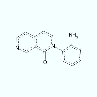 Nc1ccccc1-n1ccc2ccncc2c1=O